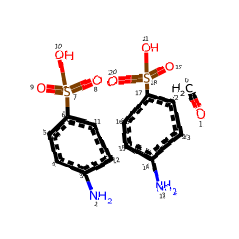 C=O.Nc1ccc(S(=O)(=O)O)cc1.Nc1ccc(S(=O)(=O)O)cc1